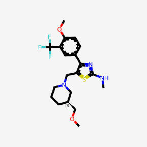 CNc1nc(-c2ccc(OC)c(C(F)(F)F)c2)c(CN2CCC[C@H](COC)C2)s1